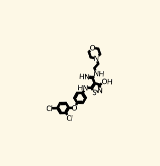 N=C(NCCN1CCOCC1)c1c(O)nsc1Nc1ccc(Oc2ccc(Cl)cc2Cl)cc1